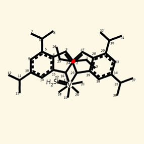 CCC1=Cc2c(C(C)C)cc(C(C)C)cc2[CH]1[V]([CH3])([CH3])([CH3])([CH3])(=[SiH2])[CH]1C(CC)=Cc2c(C(C)C)cc(C(C)C)cc21